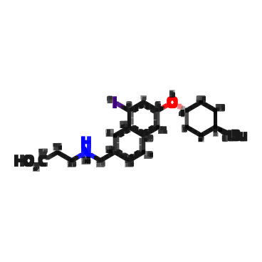 CC(C)(C)[C@H]1CC[C@H](Oc2cc(I)c3cc(CNCCC(=O)O)ccc3c2)CC1